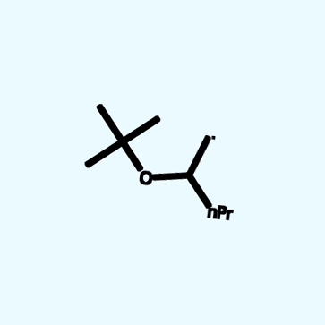 [CH2]C(CCC)OC(C)(C)C